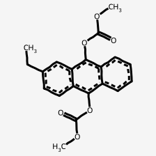 CCc1ccc2c(OC(=O)OC)c3ccccc3c(OC(=O)OC)c2c1